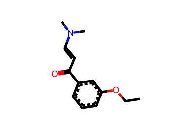 CCOc1cccc(C(=O)/C=C/N(C)C)c1